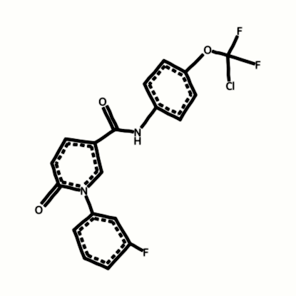 O=C(Nc1ccc(OC(F)(F)Cl)cc1)c1ccc(=O)n(-c2cccc(F)c2)c1